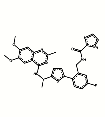 COc1cc2nc(C)nc(NC(C)c3ccc(-c4ccc(F)cc4CNC(=O)c4ncc[nH]4)s3)c2cc1OC